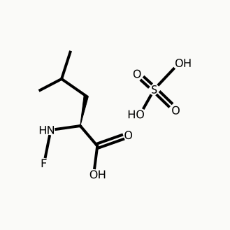 CC(C)C[C@H](NF)C(=O)O.O=S(=O)(O)O